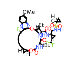 CC[C@@H]1[C@@H]2CN(C(=O)C(C(C)(C)C)NC(=O)O[C@@H]3C[C@H]3CCCC[C@@H](F)c3nc4ccc(OC)cc4nc3O2)[C@@H]1C(=O)N[C@]1(C(=O)NS(=O)(=O)C2(C)CC2)C[C@H]1C(F)F